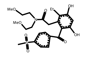 CCc1c(O)cc(O)c(C(=O)c2ccc(S(C)(=O)=O)cc2)c1CC(=O)N(CCOC)CCOC